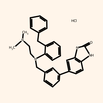 CN(C)CCN(Cc1cccc(-c2ccc3c(c2)[N]C(=O)N3)c1)c1ccccc1Cc1ccccc1.Cl